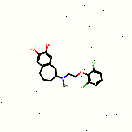 CCCN(CCOc1c(Cl)cccc1Cl)C1CCCc2cc(O)c(O)cc2C1